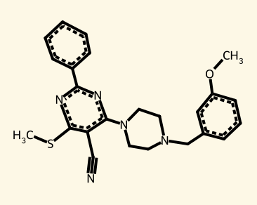 COc1cccc(CN2CCN(c3nc(-c4ccccc4)nc(SC)c3C#N)CC2)c1